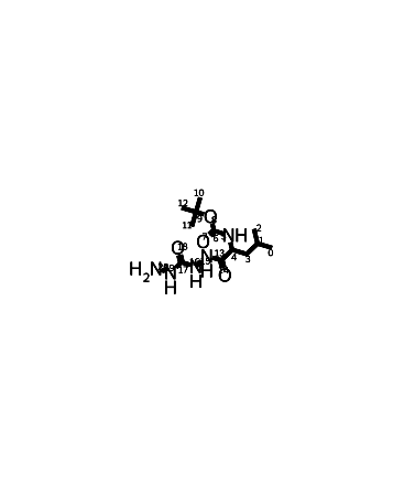 CC(C)CC(NC(=O)OC(C)(C)C)C(=O)NNC(=O)NN